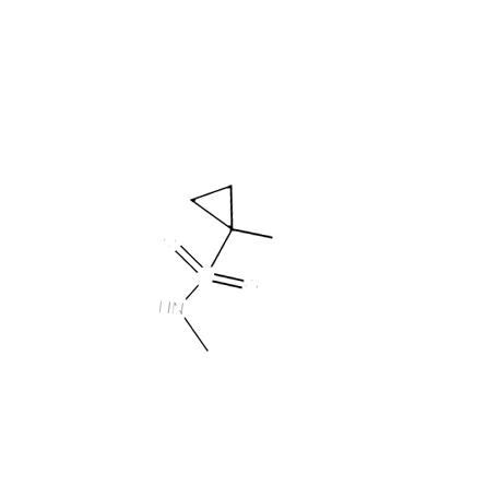 CNS(=O)(=O)C1(C)CC1